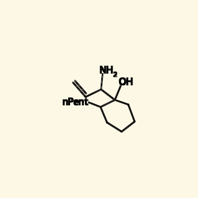 C=CC(N)C1(O)CCCCC1CCCCC